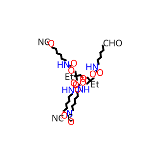 CCC(COCC(CC)(COC(=O)NCCCCCCOC#N)COC(=O)NCCCCCCOC#N)(COC(=O)NCCCCCCC=O)COC(=O)NCCCCCCN=C=O